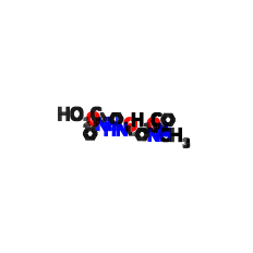 Cc1ccccc1N(C)C(=O)Nc1ccc(CC(=O)Nc2cccc(C(CC(=O)O)NC(=O)c3ccccc3)c2)cc1